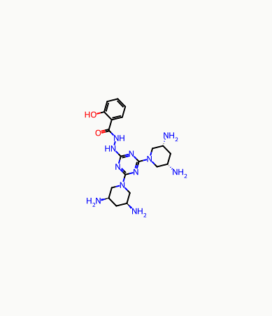 N[C@@H]1C[C@H](N)CN(c2nc(NNC(=O)c3ccccc3O)nc(N3C[C@H](N)C[C@H](N)C3)n2)C1